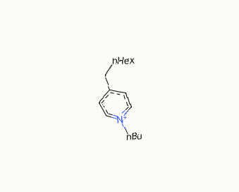 CCCCCCCc1cc[n+](CCCC)cc1